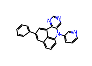 c1ccc(-c2cc3c4c(cccc4c2)N(c2cccnc2)c2cncnc2-3)cc1